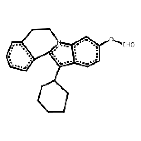 O=COc1ccc2c(C3CCCCC3)c3n(c2c1)CCc1ccccc1-3